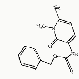 CCCCc1ccc(NC(=O)OCc2ccccc2)c(=O)n1C